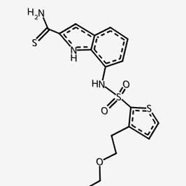 CCOCCc1ccsc1S(=O)(=O)Nc1cccc2cc(C(N)=S)[nH]c12